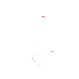 N[C@@H](CCSSCC[C@@H](C(=O)O)N(CP(=O)(O)O)CP(=O)(O)O)C(=O)O